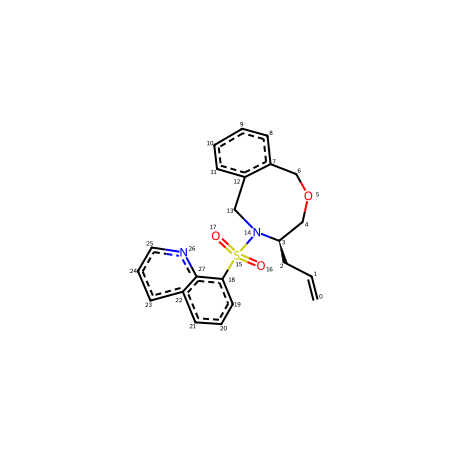 C=CC[C@@H]1COCc2ccccc2CN1S(=O)(=O)c1cccc2cccnc12